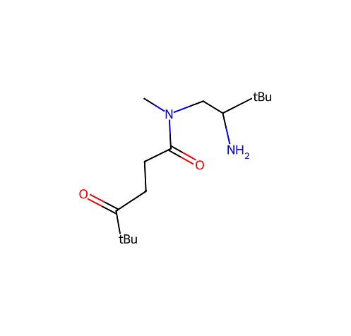 CN(CC(N)C(C)(C)C)C(=O)CCC(=O)C(C)(C)C